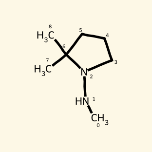 CNN1CCCC1(C)C